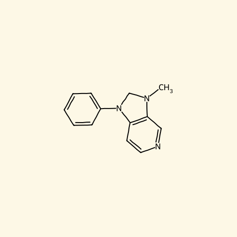 CN1CN(c2ccccc2)c2ccncc21